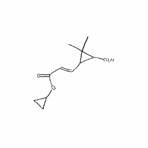 CC1(C)C(C=CC(=O)OC2CC2)C1C(=O)O